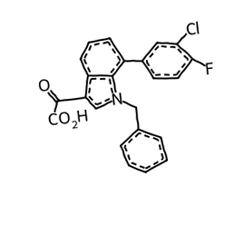 O=C(O)C(=O)c1cn(Cc2ccccc2)c2c(-c3ccc(F)c(Cl)c3)cccc12